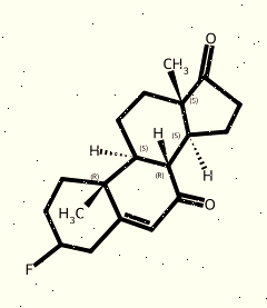 C[C@]12CCC(F)CC1=CC(=O)[C@@H]1[C@@H]2CC[C@]2(C)C(=O)CC[C@@H]12